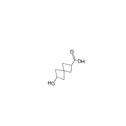 O=C(O)C1CC2(CC(O)C2)C1